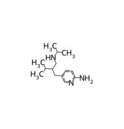 CC(C)NCC(Cc1ccc(N)nc1)C(C)C